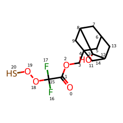 O=C(OCC12CC3CC(C1)C(O)C(C3)C2)C(F)(F)OOS